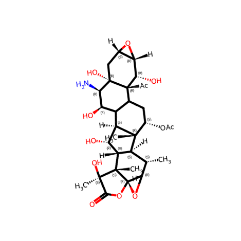 CC(=O)O[C@H]1CC2C([C@@H](O)[C@@H](N)[C@@]3(O)C[C@@H]4O[C@@H]4[C@H](O)[C@]23C(C)=O)[C@@H]2[C@@H](O)[C@@H]3[C@H]([C@H](C)[C@H]4O[C@]45OC(=O)[C@@](C)(O)[C@]35C)[C@@]12C